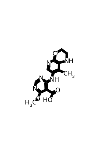 COc1ncnc(Nc2cnc3c(c2C)NCCO3)c1C(=O)O